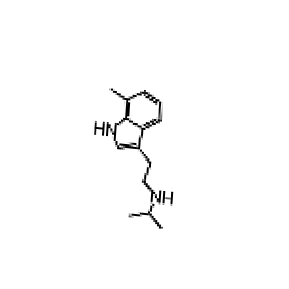 Cc1cccc2c(CCNC(C)C)c[nH]c12